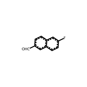 O=[C]c1ccc2cc(F)ccc2c1